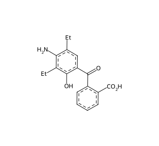 CCc1cc(C(=O)c2ccccc2C(=O)O)c(O)c(CC)c1N